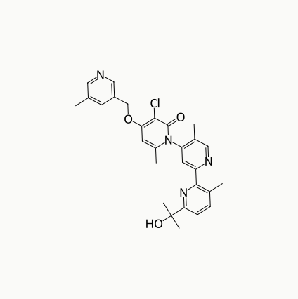 Cc1cncc(COc2cc(C)n(-c3cc(-c4nc(C(C)(C)O)ccc4C)ncc3C)c(=O)c2Cl)c1